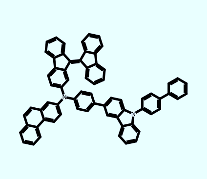 c1ccc(-c2ccc(-n3c4ccccc4c4cc(-c5ccc(N(c6ccc7c(c6)C(=C6c8ccccc8-c8ccccc86)c6ccccc6-7)c6ccc7c(ccc8ccccc87)c6)cc5)ccc43)cc2)cc1